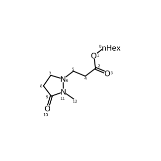 CCCCCCOC(=O)CCN1CCC(=O)N1C